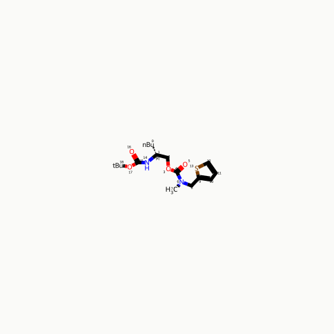 CCCC[C@H](COC(=O)N(C)Cc1cccs1)NC(=O)OC(C)(C)C